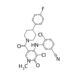 Cn1cc(C(=O)N2CCC(c3ccc(F)cc3)CC2)c(Nc2cc(C#N)ccc2Cl)c(Cl)c1=O